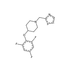 Fc1cc(F)c(OC2CCN(Cc3nc[c]s3)CC2)c(F)c1